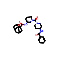 O=C(NC1CCN(C(=O)N2CCC[C@H](NC(=O)C34CC5CC(C3)C(O)C(C5)C4)C2)CC1)c1ccccc1